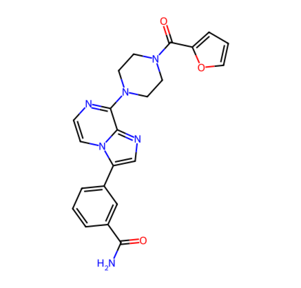 NC(=O)c1cccc(-c2cnc3c(N4CCN(C(=O)c5ccco5)CC4)nccn23)c1